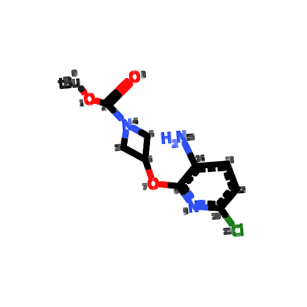 CC(C)(C)OC(=O)N1CC(Oc2nc(Cl)ccc2N)C1